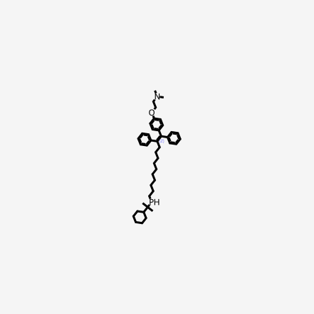 CN(C)CCOc1ccc(/C(=C(/CCCCCCCCCCPC(C)(C)C2CCCCC2)c2ccccc2)c2ccccc2)cc1